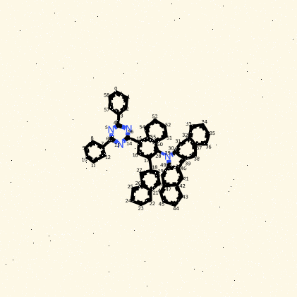 c1ccc(-c2nc(-c3ccccc3)nc(-c3cc(-c4ccc5ccccc5c4)c(-n4c5cc6ccccc6cc5c5cc6ccccc6cc54)c4ccccc34)n2)cc1